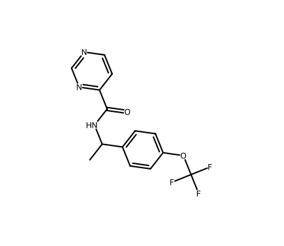 CC(NC(=O)c1ccncn1)c1ccc(OC(F)(F)F)cc1